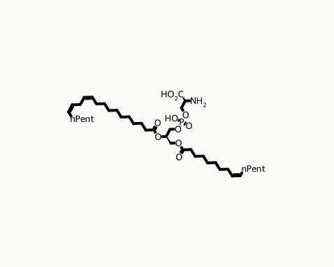 CCCCC/C=C\C/C=C\CCCCCCCCCC(=O)O[C@H](COC(=O)CCCCCCC/C=C\CCCCC)COP(=O)(O)OC[C@H](N)C(=O)O